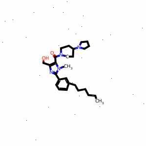 CCCCCCc1cccc(-c2nc(CO)c(C(=O)N3CCC(N4CCCC4)CC3)n2C)c1